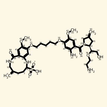 C=C1CCC(S(=O)(=O)O)Nc2cc(OCCCCCOc3cc(N)c(C(=O)N4CC(=C)C[C@H]4C(CO)OCCN)cc3OC)c(OC)cc2C(=O)NC1